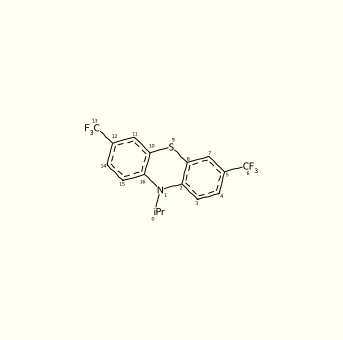 CC(C)N1c2ccc(C(F)(F)F)cc2Sc2cc(C(F)(F)F)ccc21